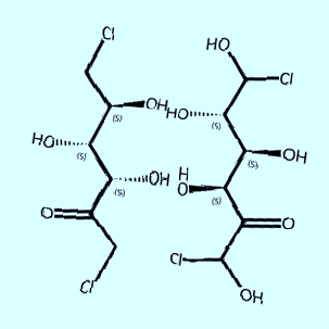 O=C(C(O)Cl)[C@@H](O)[C@H](O)[C@H](O)C(O)Cl.O=C(CCl)[C@@H](O)[C@H](O)[C@H](O)CCl